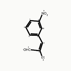 CCC([C]=O)=Cc1cccc([N+](=O)[O-])c1